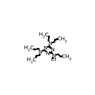 C=CCN(CC)c1nc(N(CC=C)CC=C)nc(N(CC=C)CC=C)n1